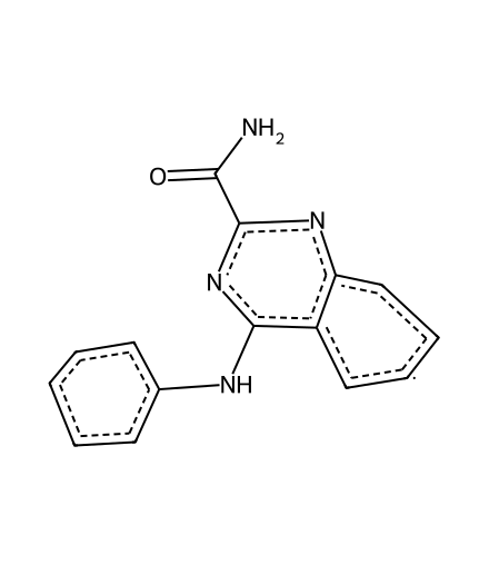 NC(=O)c1nc(Nc2ccccc2)c2c[c]ccc2n1